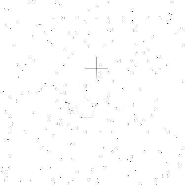 C[C@@H]1[C@@H](C)C[C@@H](C(=O)O)N1C(=O)OC(C)(C)C